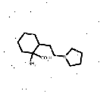 NC1(C(=O)O)CCCCC1CCN1CCCC1